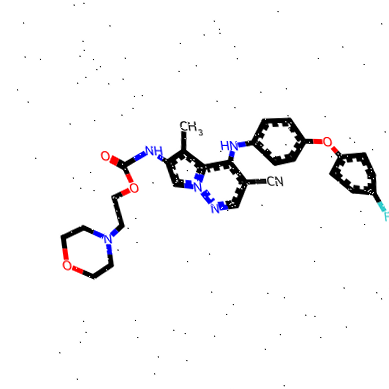 Cc1c(NC(=O)OCCN2CCOCC2)cn2ncc(C#N)c(Nc3ccc(Oc4ccc(F)cc4)cc3)c12